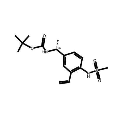 C=Cc1cc([C@@H](C)NC(=O)OC(C)(C)C)ccc1NS(C)(=O)=O